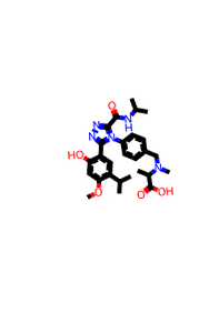 COc1cc(O)c(-c2nnc(C(=O)NC(C)C)n2-c2ccc(CN(C)C(C)C(=O)O)cc2)cc1C(C)C